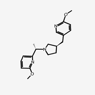 COc1ccc(C[C@H]2CCN([C@@H](C)c3cccc(OC)n3)C2)cn1